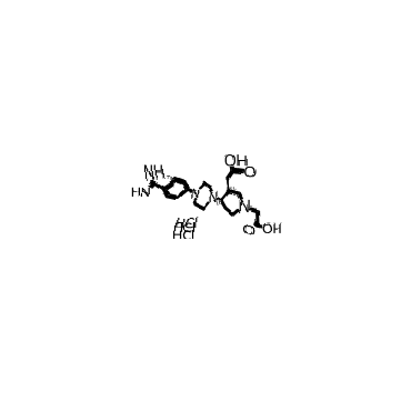 Cl.Cl.Cl.N=C(N)c1ccc(N2CCN([C@@H]3CCN(CC(=O)O)C[C@@H]3CC(=O)O)CC2)cc1